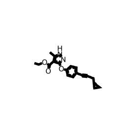 CCOC(=O)c1c(Oc2ccc(C#CCC3CC3)cc2)n[nH]c1C